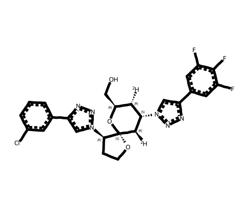 [2H][C@@H]1[C@H](n2cc(-c3cc(F)c(F)c(F)c3)nn2)[C@@H]([2H])[C@]2(OCC[C@H]2n2cc(-c3cccc(Cl)c3)nn2)O[C@H]1CO